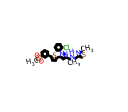 Cc1nc(CNC(C)c2cc(-c3ccc(-c4cccc(S(C)(=O)=O)c4)s3)n(-c3ccccc3Cl)n2)cs1